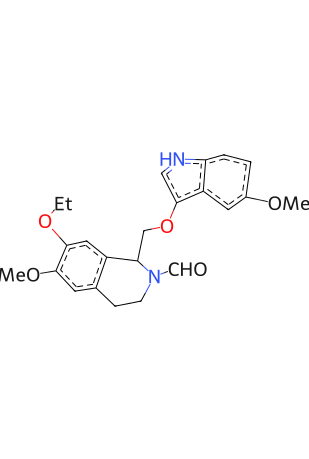 CCOc1cc2c(cc1OC)CCN(C=O)C2COc1c[nH]c2ccc(OC)cc12